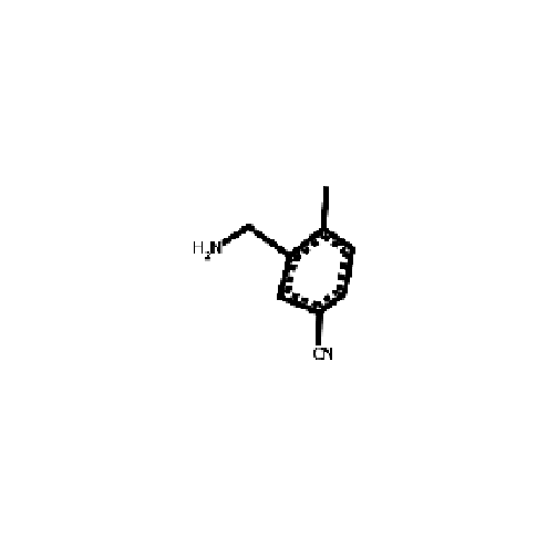 Cc1ccc(C#N)cc1CN